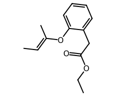 C/C=C(\C)Oc1ccccc1CC(=O)OCC